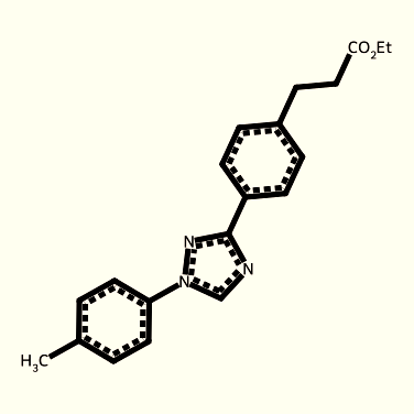 CCOC(=O)CCc1ccc(-c2ncn(-c3ccc(C)cc3)n2)cc1